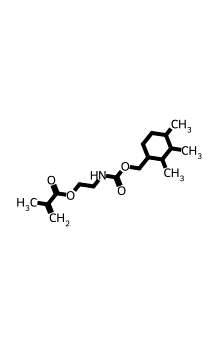 C=C(C)C(=O)OCCNC(=O)OCC1CCC(C)C(C)C1C